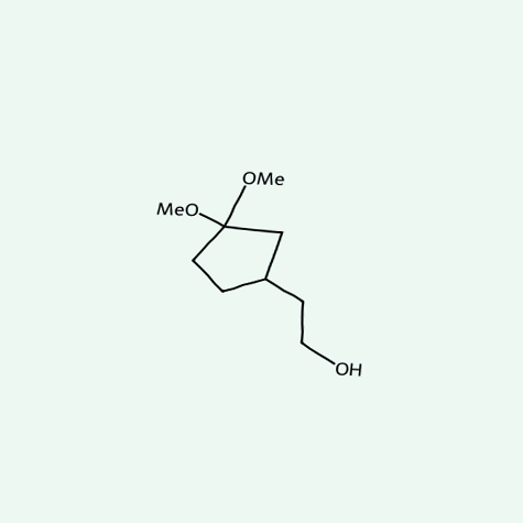 COC1(OC)CCC(CCO)C1